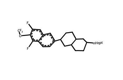 CCCCCCCC1CCC2CC(c3ccc4c(F)c(OC(F)(F)F)c(F)cc4c3)CCC2C1